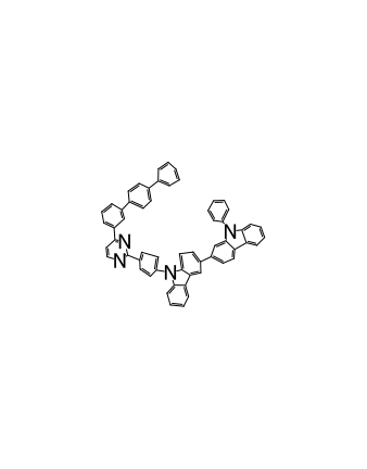 c1ccc(-c2ccc(-c3cccc(-c4ccnc(-c5ccc(-n6c7ccccc7c7cc(-c8ccc9c%10ccccc%10n(-c%10ccccc%10)c9c8)ccc76)cc5)n4)c3)cc2)cc1